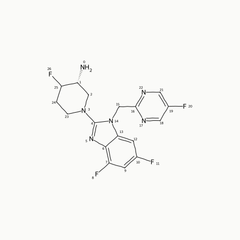 N[C@@H]1CN(c2nc3c(F)cc(F)cc3n2Cc2ncc(F)cn2)CCC1F